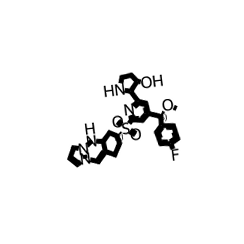 CO[C@@H](c1ccc(F)cc1)c1cc(C2NCCC2O)nc(S(=O)(=O)[C@@H]2CCC3=CN4C=CCN4NC3C2)c1